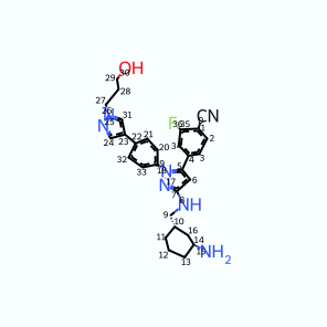 N#Cc1ccc(-c2cc(NC[C@H]3CCC[C@H](N)C3)nn2-c2ccc(-c3cnn(CCCO)c3)cc2)cc1F